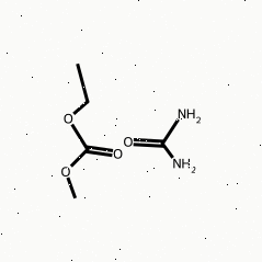 CCOC(=O)OC.NC(N)=O